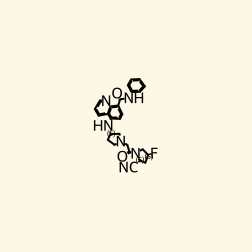 N#C[C@@H]1C[C@H](F)CN1C(=O)CN1CC[C@H](Nc2ccc(C(=O)Nc3ccccc3)c3ncccc23)C1